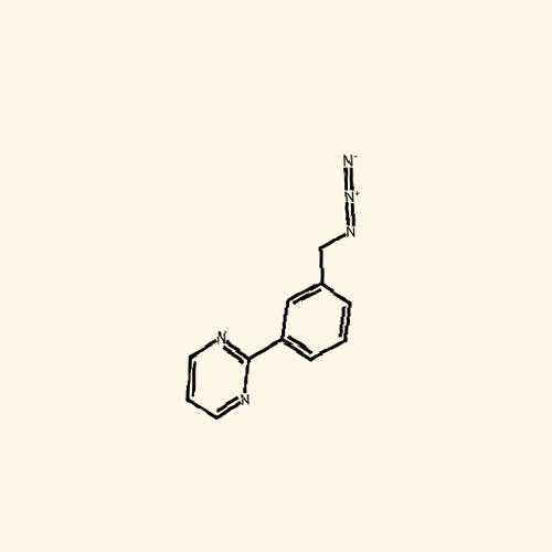 [N-]=[N+]=NCc1cccc(-c2ncccn2)c1